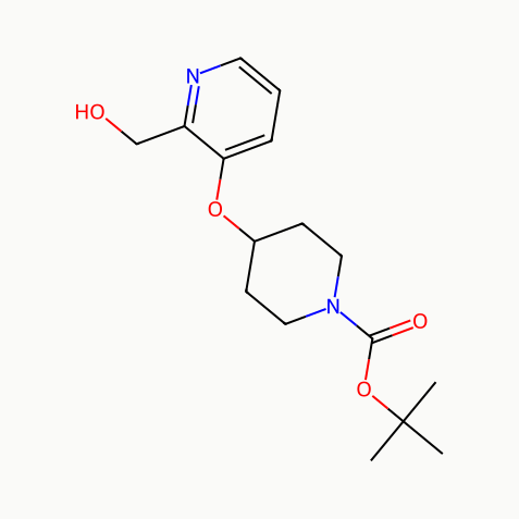 CC(C)(C)OC(=O)N1CCC(Oc2cccnc2CO)CC1